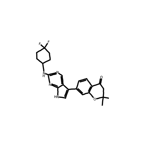 CC1(C)CC(=O)c2ccc(-c3c[nH]c4nc(NC5CCC(F)(F)CC5)ncc34)cc2O1